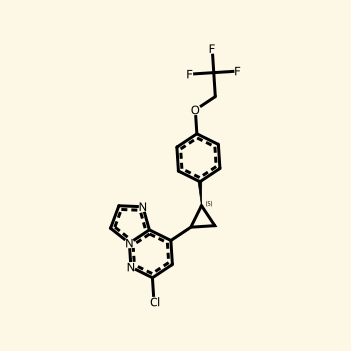 FC(F)(F)COc1ccc([C@H]2CC2c2cc(Cl)nn3ccnc23)cc1